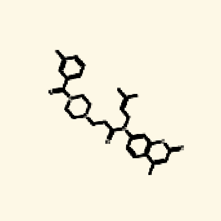 CC(C)=CCN(C(=O)CCN1CCN(C(=O)c2cccc(C)c2)CC1)c1ccc2c(C)cc(=O)oc2c1